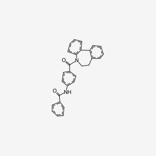 O=C(Nc1ccc(C(=O)N2CCc3ccccc3-c3ccccc32)cc1)c1ccccc1